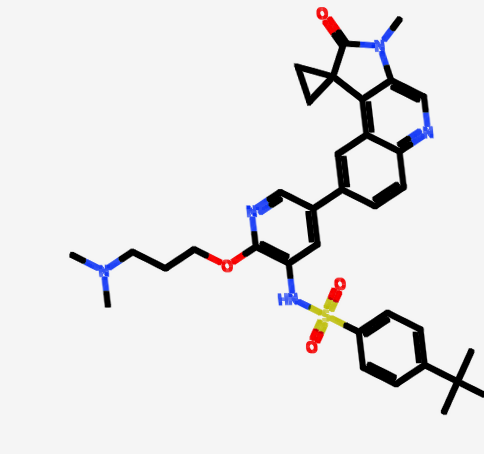 CN(C)CCCOc1ncc(-c2ccc3ncc4c(c3c2)C2(CC2)C(=O)N4C)cc1NS(=O)(=O)c1ccc(C(C)(C)C)cc1